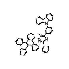 c1ccc(-c2nc(-c3cccc(-n4c5ccccc5c5ccccc54)c3)nc(-c3cccc4c(-c5ccccc5)c(-c5ccccc5)c5ccccc5c34)n2)cc1